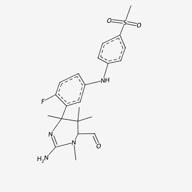 CN1C(N)=NC(C)(c2cc(Nc3ccc(S(C)(=O)=O)cc3)ccc2F)C(C)(C)C1C=O